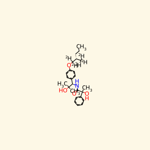 [2H]C([2H])([2H])[C@@H](CCC)C([2H])([2H])Oc1ccc([C@@H](NC(=O)[C@](C)(O)c2ccccc2)C(C)(C)O)cc1